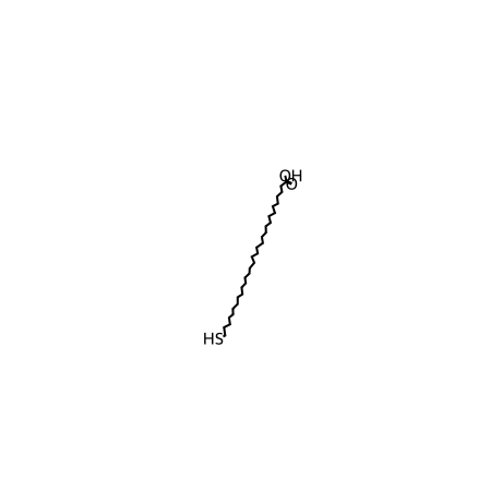 O=C(O)CCCCCCCCCCCCCCCCCCCCCCCCCCCCCCS